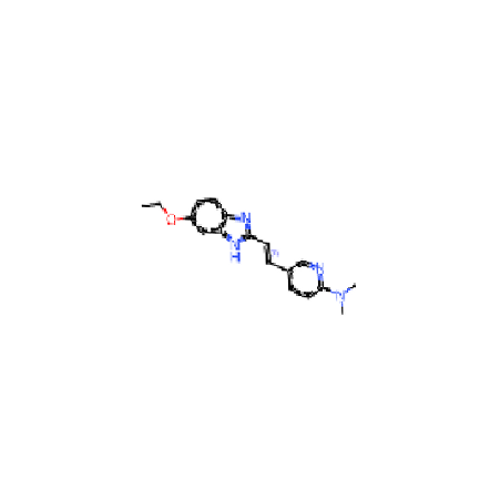 CCOc1ccc2nc(/C=C/c3ccc(N(C)C)nc3)[nH]c2c1